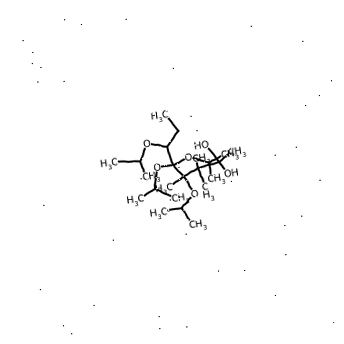 CCC(OC(C)C)C(OC(C)C)(OC(C)C)C(C)(OC(C)C)C(C)(C)C(C)(O)O